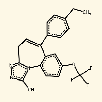 CCc1ccc(C2=CCc3nnc(C)n3-c3ccc(OC(F)(F)F)cc32)cc1